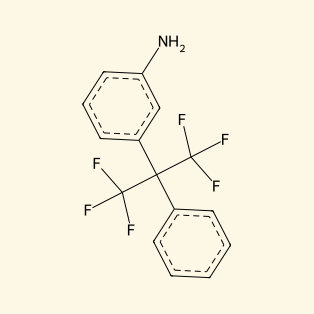 Nc1cccc(C(c2ccccc2)(C(F)(F)F)C(F)(F)F)c1